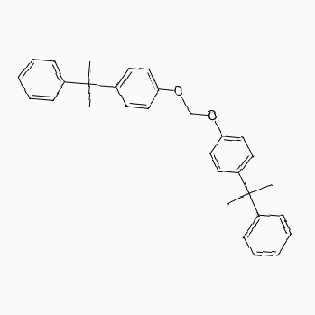 CC(C)(c1ccccc1)c1ccc(OCOc2ccc(C(C)(C)c3ccccc3)cc2)cc1